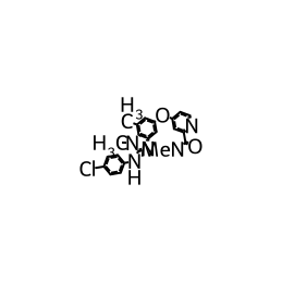 CNC(=O)c1cc(Oc2cc(C)c3c(c2)nc(Nc2ccc(Cl)cc2)n3C)ccn1